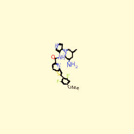 COc1cc(F)c(-c2cc3nc(C(=O)Nc4cnccc4N4CC(C)CC(N)C4)ccc3s2)c(F)c1